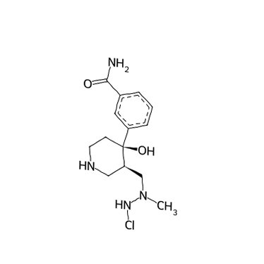 CN(C[C@H]1CNCC[C@]1(O)c1cccc(C(N)=O)c1)NCl